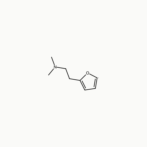 CN(C)CCc1cc[c]o1